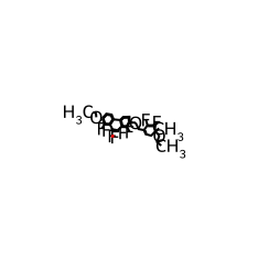 CCOc1ccc2c(c1F)C(F)(F)C(F)(F)c1c-2ccc(OCC2=CCC(C)(OCC)C(F)=C2F)c1F